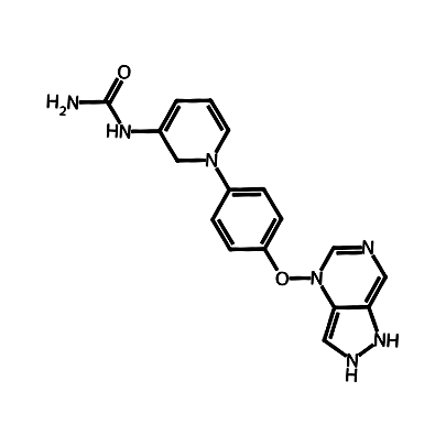 NC(=O)NC1=CC=CN(c2ccc(ON3C=NC=C4NNC=C43)cc2)C1